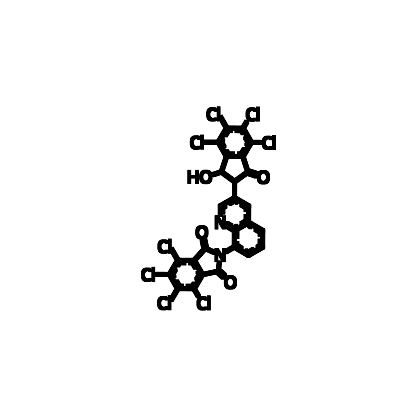 O=C1c2c(Cl)c(Cl)c(Cl)c(Cl)c2C(O)C1c1cnc2c(N3C(=O)c4c(Cl)c(Cl)c(Cl)c(Cl)c4C3=O)cccc2c1